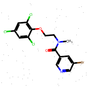 CN(CCOc1c(Cl)cc(Cl)cc1Cl)C(=O)c1cncc(Br)c1